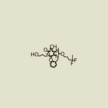 Cn1c(=O)n(CCCO)c(=O)c2c1nc(OCCCC(F)(F)I)n2Cc1ccccc1